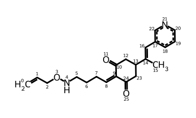 C=CCONCCCC=C1C(=O)CC(C(C)=Cc2cccnc2)CC1=O